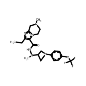 CCc1nc2n(c1C(=O)NN(C)C1CN(c3ccc(OC(F)(F)F)cc3)C1)CCN(C)C2